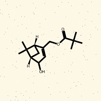 CC(C)(C)C(=O)OCC1=CC(O)[C@H]2C[C@@H]1C2(C)C